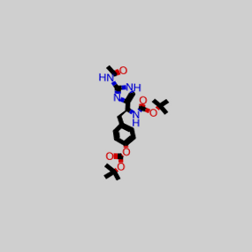 CC(=O)Nc1nc([C@H](Cc2ccc(OC(=O)OC(C)(C)C)cc2)NC(=O)OC(C)(C)C)c[nH]1